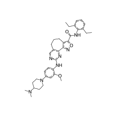 CCc1cccc(CC)c1NC(=O)c1onc2c1CCCc1cnc(Nc3ccc(N4CCC(N(C)C)CC4)cc3OC)nc1-2